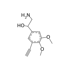 C#Cc1cc(C(O)CN)cc(OC)c1OC